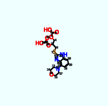 O=C(O)OCC(CSc1nc2c(N3CCOCC3)cccc2[nH]1)OC(=O)O